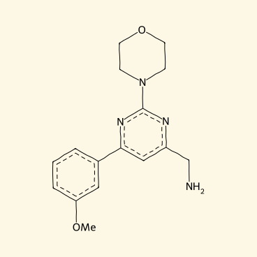 COc1cccc(-c2cc(CN)nc(N3CCOCC3)n2)c1